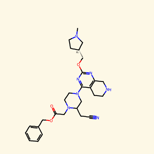 CN1CC[C@@H](COc2nc3c(c(N4CCN(CC(=O)OCc5ccccc5)C(CC#N)C4)n2)CCNC3)C1